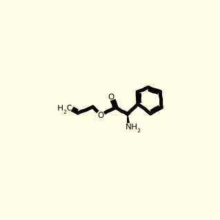 C=CCOC(=O)[C@H](N)c1ccccc1